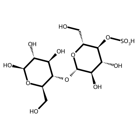 O=S(=O)(O)O[C@H]1[C@H](O)[C@@H](O)[C@H](O[C@H]2[C@H](O)[C@@H](O)[C@H](O)O[C@@H]2CO)O[C@@H]1CO